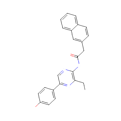 CC(C)Cc1nc(-c2ccc(O)cc2)cnc1NC(=O)Cc1ccc2ccccc2c1